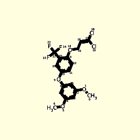 COc1cc(OC)cc(Oc2ccc(OCC=C(Cl)Cl)c(C(F)(F)F)c2)c1